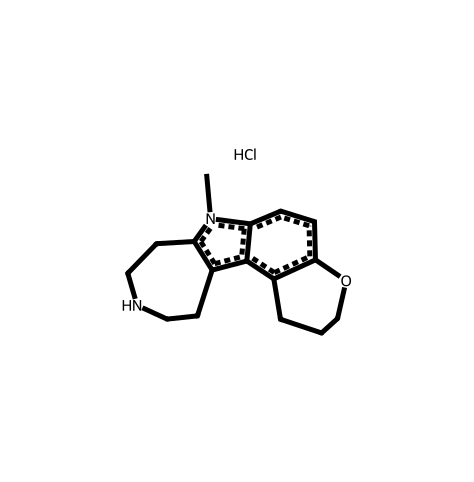 Cl.Cn1c2c(c3c4c(ccc31)OCCC4)CCNCC2